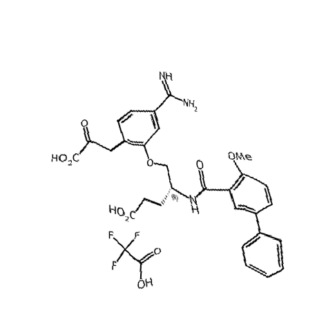 COc1ccc(-c2ccccc2)cc1C(=O)N[C@H](CCC(=O)O)COc1cc(C(=N)N)ccc1CC(=O)C(=O)O.O=C(O)C(F)(F)F